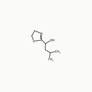 CC(C)CC(O)C1=NCCO1